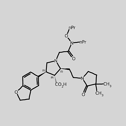 CCCON(CCC)C(=O)CN1C[C@H](c2ccc3c(c2)CCO3)[C@@H](C(=O)O)[C@@H]1CCN1CCC(C)(C)C1=O